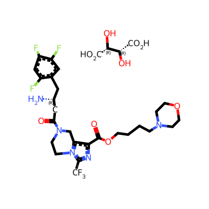 N[C@@H](CC(=O)N1CCn2c(C(F)(F)F)nc(C(=O)OCCCCN3CCOCC3)c2C1)Cc1cc(F)c(F)cc1F.O=C(O)[C@H](O)[C@@H](O)C(=O)O